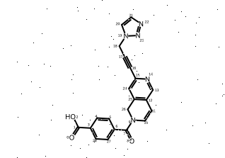 O=C(O)c1ccc(C(=O)N2C=Cc3cnc(C#CCn4ccnn4)cc3C2)cc1